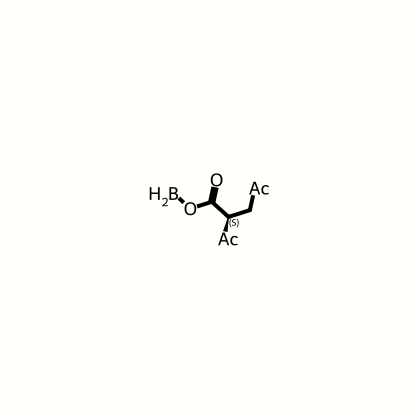 BOC(=O)[C@@H](CC(C)=O)C(C)=O